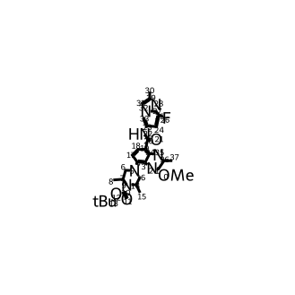 COc1nc2c(N3CC(C)N(C(=O)OC(C)(C)C)C(C)C3)ccc(C(=O)Nc3cc(F)c4nc(C)cn4c3)c2nc1C